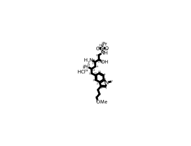 COCCCc1cn(C)c2ccc(CC(CC(N)C(O)CNS(=O)(=O)C(C)C)C(C)C)cc12.Cl